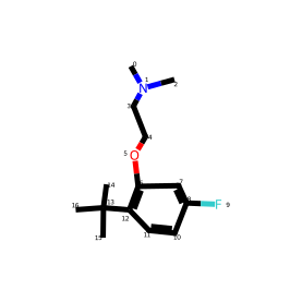 CN(C)CCOc1cc(F)ccc1C(C)(C)C